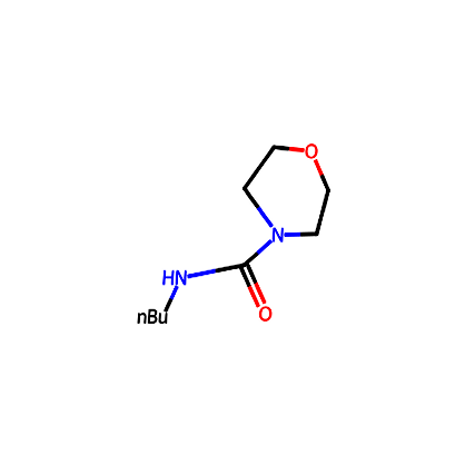 CCCCNC(=O)N1CCOCC1